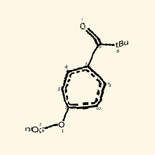 CCCCCCCCOc1ccc(C(=O)C(C)(C)C)cc1